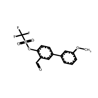 COc1cccc(-c2ccc(OS(=O)(=O)C(F)(F)F)c(C=O)c2)c1